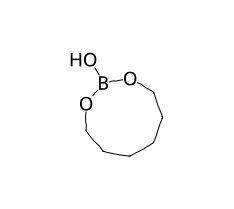 OB1OCCCCCCO1